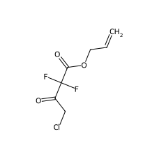 C=CCOC(=O)C(F)(F)C(=O)CCl